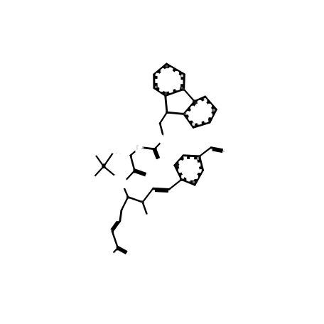 CC(C=Cc1ccc(C=O)cc1)C(CC=CC(=O)O)OC(=O)[C@H](CC(C)(C)C)NC(=O)OCC1c2ccccc2-c2ccccc21